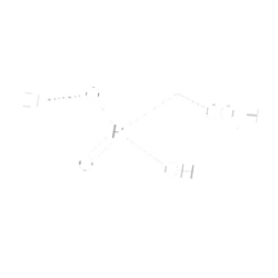 CCOP(=O)(O)CC(=O)O